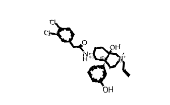 C=CC[N@@+]1(C)CC[C@@]2(c3cccc(O)c3)C[C@H](NC(=O)Cc3ccc(Cl)c(Cl)c3)CCC2(O)C1